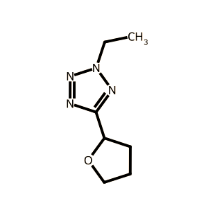 CCn1nnc(C2CCCO2)n1